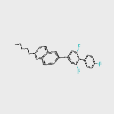 CCCCCc1ccc2cc(-c3cc(F)c(-c4ccc(F)cc4)c(F)c3)ccc2c1